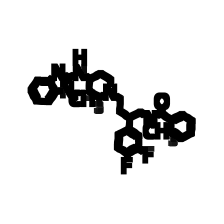 CN(CC(CCN1CCC(Nc2nc3ccccc3n2C)CC1)c1ccc(F)c(F)c1)C(=O)c1ccccc1